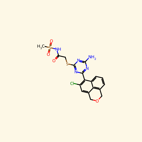 CS(=O)(=O)NC(=O)CSc1nc(N)nc(-c2c(Cl)cc3c4c(cccc24)COC3)n1